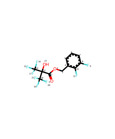 O=C(OCc1cccc(F)c1F)C(O)(C(F)(F)F)C(F)(F)F